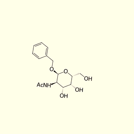 CC(=O)N[C@H]1[C@@H](OCc2ccccc2)O[C@H](CO)[C@H](O)[C@@H]1O